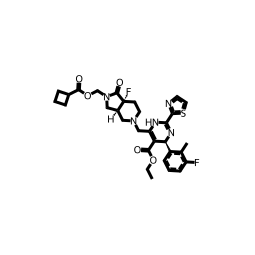 CCOC(=O)C1=C(CN2CC[C@]3(F)C(=O)N(COC(=O)C4CCC4)C[C@@H]3C2)NC(c2nccs2)=N[C@H]1c1cccc(F)c1C